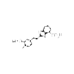 COc1cc(/C=C/c2nc3c(C(=O)O)cccc3o2)ccc1C